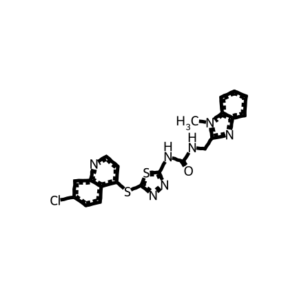 Cn1c(CNC(=O)Nc2nnc(Sc3ccnc4cc(Cl)ccc34)s2)nc2ccccc21